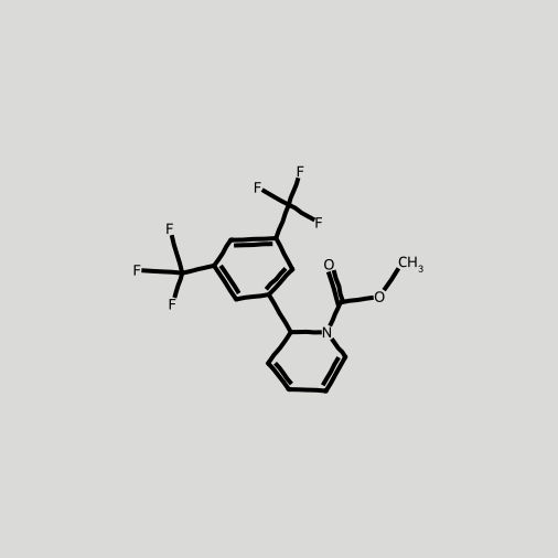 COC(=O)N1C=CC=CC1c1cc(C(F)(F)F)cc(C(F)(F)F)c1